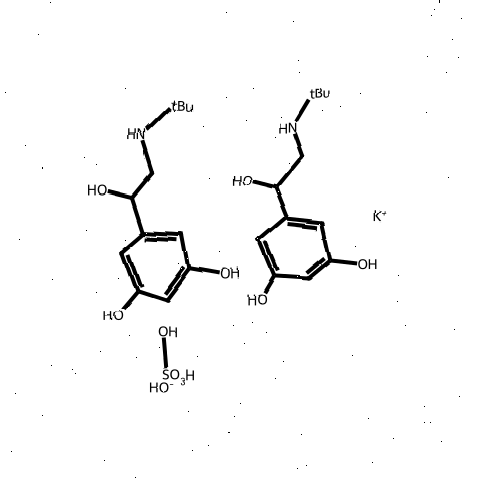 CC(C)(C)NCC(O)c1cc(O)cc(O)c1.CC(C)(C)NCC(O)c1cc(O)cc(O)c1.O=S(=O)(O)O.[K+].[OH-]